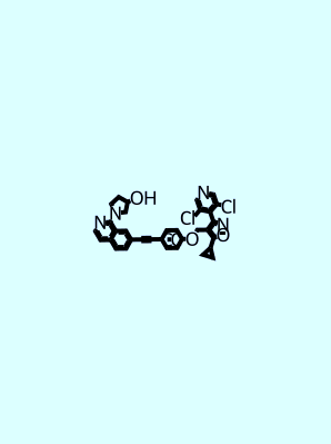 OC1CCN(c2nccc3ccc(C#CC45CCC(OCc6c(-c7c(Cl)cncc7Cl)noc6C6CC6)(CC4)CC5)cc23)C1